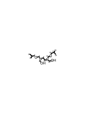 CC(C)COCN(CO)CCN(CO)COCC(C)C